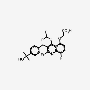 CCc1nc2c(F)ccc(OCC(=O)O)c2c(OC(F)F)c1Cc1ccc(C(C)(C)O)cc1